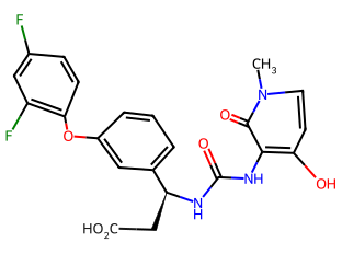 Cn1ccc(O)c(NC(=O)N[C@@H](CC(=O)O)c2cccc(Oc3ccc(F)cc3F)c2)c1=O